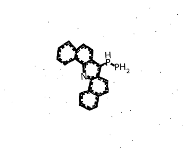 PPc1c2ccc3ccccc3c2nc2c1ccc1ccccc12